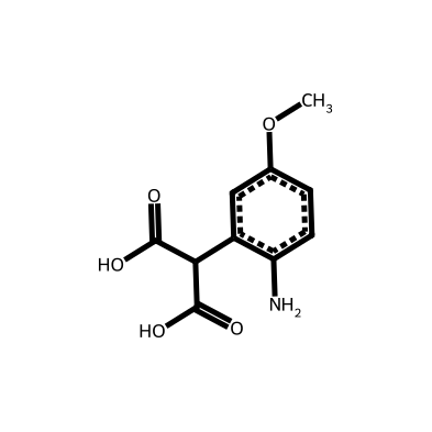 COc1ccc(N)c(C(C(=O)O)C(=O)O)c1